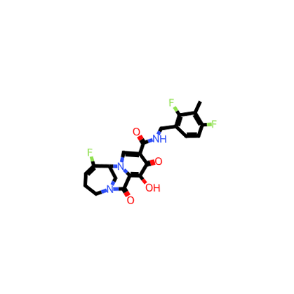 Cc1c(F)ccc(CNC(=O)c2cn3c(c(O)c2=O)C(=O)N2CCC=C(F)C3C2)c1F